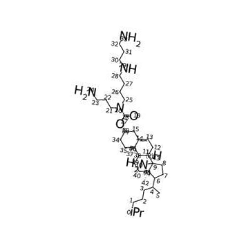 CC(C)CCCC(C)C1CCC2(N)[C@@H]3CC=C4C[C@@H](OC(=O)N(CCCN)CCCCNCCCN)CC[C@]4(C)C3CC[C@]12C